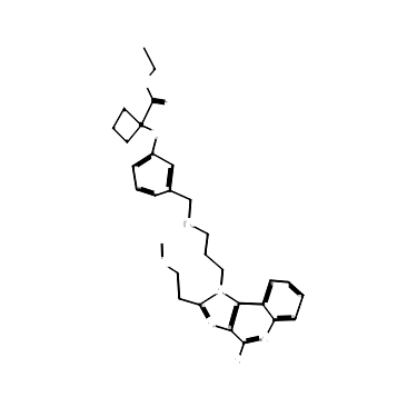 CCOC(=O)C1(Oc2cccc(CNCCCn3c(CCOC)nc4c(N)nc5ccccc5c43)c2)CCC1